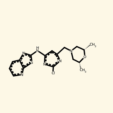 C[C@@H]1CN(Cc2cc(Nc3nc4cccnc4s3)nc(Cl)n2)C[C@H](C)O1